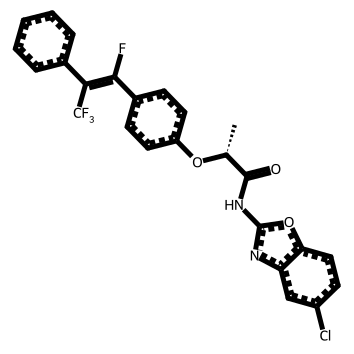 C[C@@H](Oc1ccc(/C(F)=C(/c2ccccc2)C(F)(F)F)cc1)C(=O)Nc1nc2cc(Cl)ccc2o1